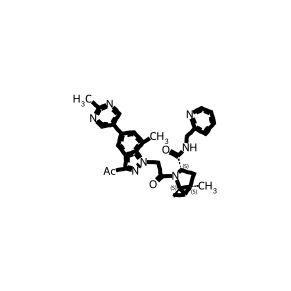 CC(=O)c1nn(CC(=O)N2[C@H](C(=O)NCc3ccccn3)C[C@@]3(C)C4C[C@@]423)c2c(C)cc(-c3cnc(C)nc3)cc12